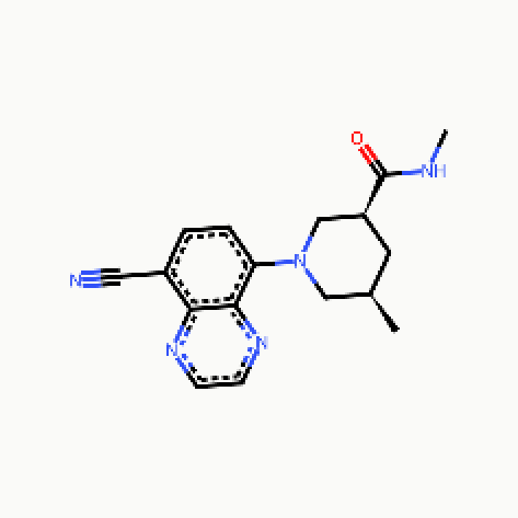 CNC(=O)[C@H]1C[C@@H](C)CN(c2ccc(C#N)c3nccnc23)C1